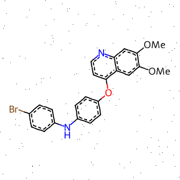 COc1cc2nccc(Oc3ccc(Nc4ccc(Br)cc4)cc3)c2cc1OC